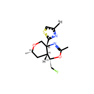 [2H]c1csc([C@]23CO[C@@H](C)C[C@H]2[C@@H](CF)OC(C)=N3)n1